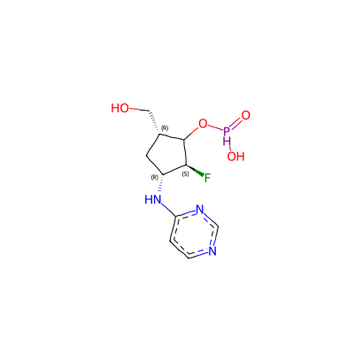 O=[PH](O)OC1[C@@H](CO)C[C@@H](Nc2ccncn2)[C@@H]1F